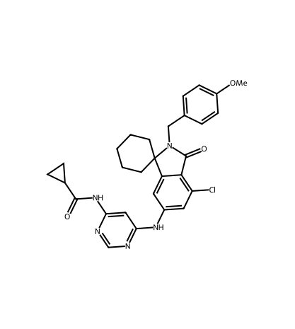 COc1ccc(CN2C(=O)c3c(Cl)cc(Nc4cc(NC(=O)C5CC5)ncn4)cc3C23CCCCC3)cc1